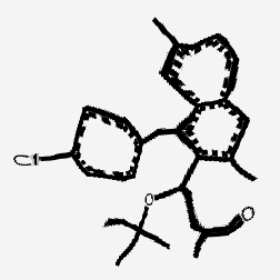 CC(=O)C(OC(C)(C)C)c1c(C)cc2ccc(C)cc2c1-c1ccc(Cl)cc1